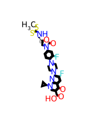 CSC(=S)NC[C@H]1CN(c2ccc(N3CCN(c4nc5c(cc4F)c(=O)c(C(=O)O)cn5C4CC4)CC3)c(F)c2)C(=O)O1